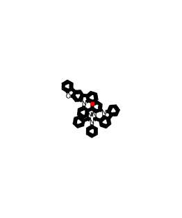 c1ccc(-c2nnc(-c3cccc4c5ccccc5n(-c5cccc(-c6ccccc6-n6c7ccccc7c7cc8c(cc76)oc6ccccc68)c5)c34)n2-c2ccccc2)cc1